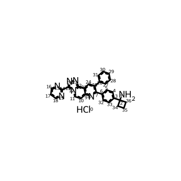 Cl.NC1(c2ccc(-c3nc4ccn5c(-c6ncccn6)nnc5c4cc3-c3ccccc3)cc2)CCC1